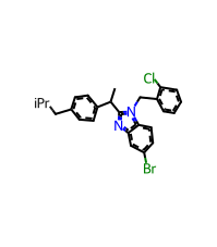 CC(C)Cc1ccc(C(C)c2nc3cc(Br)ccc3n2Cc2ccccc2Cl)cc1